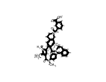 Cc1c(C(=O)N(C)c2ccccc2)cc(-c2cc3c(cc2C(=O)N2Cc4ccccc4C[C@H]2C)CN(C(=O)Cc2cccc(C(=O)O)c2)CC3)n1C